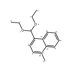 CCOC(OCC)c1cc[n+](C)c2ccccc12